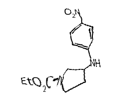 CCOC(=O)N1CCC(Nc2ccc([N+](=O)[O-])cc2)C1